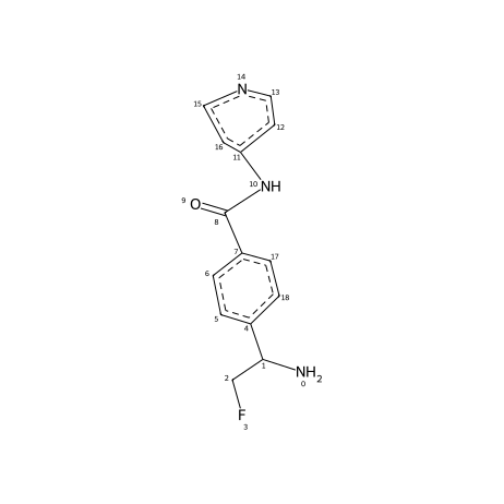 NC(CF)c1ccc(C(=O)Nc2ccncc2)cc1